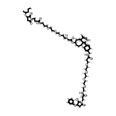 CCCC(C)SC1CC(=O)N(CCC(=O)NCCCOCCOCCOCCNCC(=O)OC2CCCC3=C(c4ccc(CNC(=O)CCOCCOCCOCCOCCNC(=O)CCN5C(=O)CC(Sc6ccccc6)C5=O)cc4)NN=C(C)C3CC2)C1=O